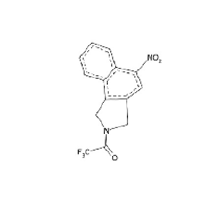 O=C(N1Cc2cc([N+](=O)[O-])c3ccccc3c2C1)C(F)(F)F